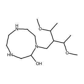 COC(C)C(CN1CCNCCNCC1O)C(C)OC